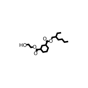 CCCCC(CC)COC(=O)C1CCCC(C(=O)OCCO)C1